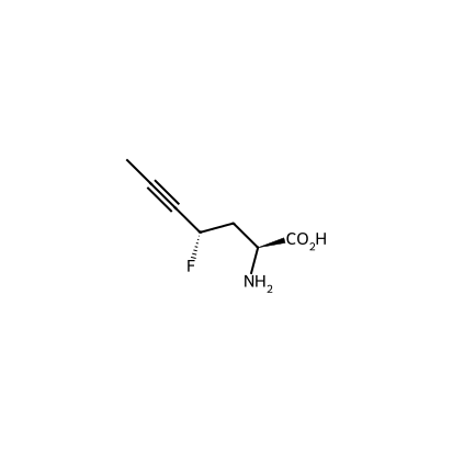 CC#C[C@@H](F)C[C@H](N)C(=O)O